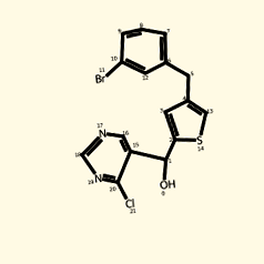 OC(c1cc(Cc2cccc(Br)c2)cs1)c1cncnc1Cl